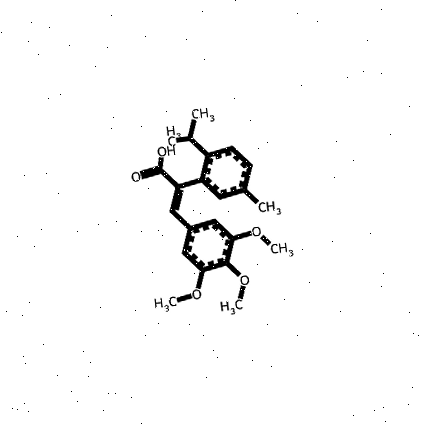 COc1cc(/C=C(/C(=O)O)c2cc(C)ccc2C(C)C)cc(OC)c1OC